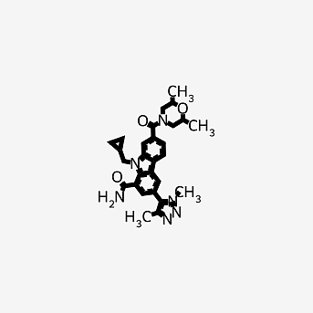 Cc1nnn(C)c1-c1cc(C(N)=O)c2c(c1)c1ccc(C(=O)N3CC(C)OC(C)C3)cc1n2CC1CC1